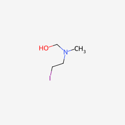 CN(CO)CCI